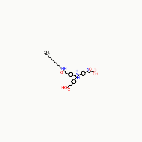 CCCCCCCCCCCCNC(=O)C=Cc1ccc(-c2[nH]c(-c3ccc(C4=NOC(C(=O)O)C4)cc3)nc2-c2ccc(C=CC(=O)O)cc2)cc1